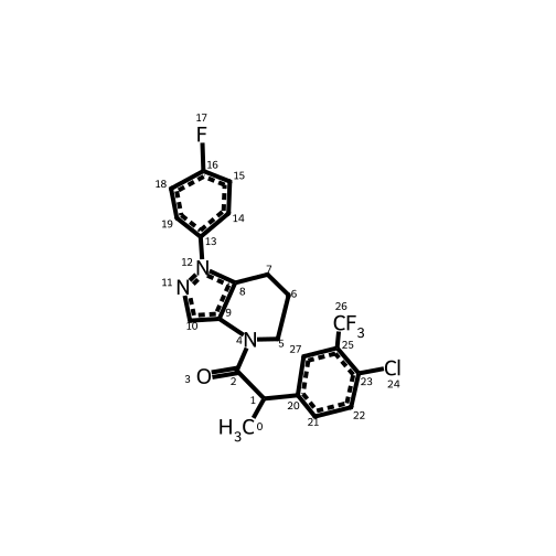 CC(C(=O)N1CCCc2c1cnn2-c1ccc(F)cc1)c1ccc(Cl)c(C(F)(F)F)c1